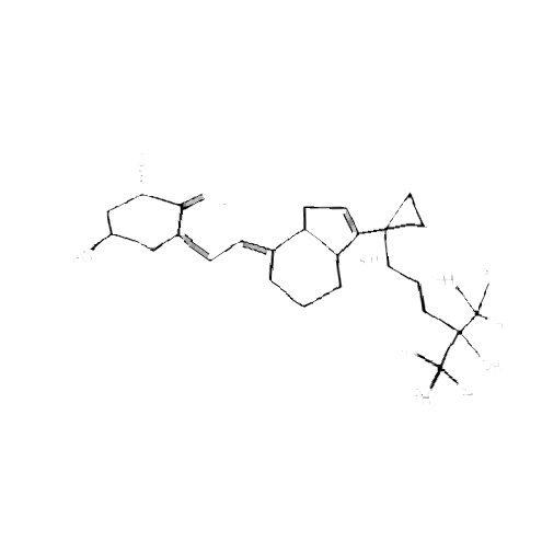 [2H]C([2H])([2H])C(O)(CCCC1(C2=CCC3/C(=C/C=C4/CC(O)C[C@H](F)C4=C)CCC[C@]23C)CC1)C([2H])([2H])[2H]